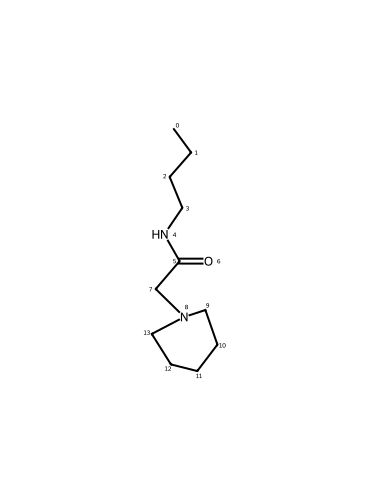 CCCCNC(=O)CN1CCCCC1